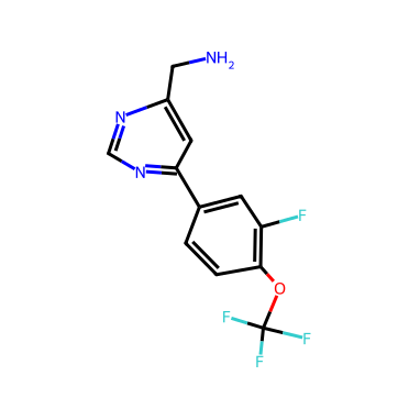 NCc1cc(-c2ccc(OC(F)(F)F)c(F)c2)ncn1